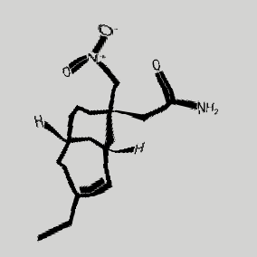 CCC1=C[C@@H]2[C@H](C1)C[C@]2(CC(N)=O)C[N+](=O)[O-]